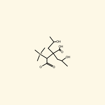 CC(O)CC(CC(C)O)(C(=O)O)C(C(=O)[O-])[N+](C)(C)C